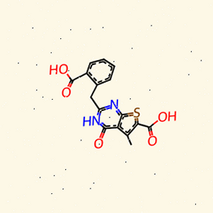 Cc1c(C(=O)O)sc2nc(Cc3ccccc3C(=O)O)[nH]c(=O)c12